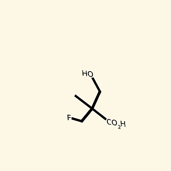 CC(CO)(CF)C(=O)O